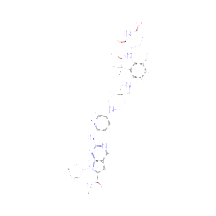 CN(C)C(=O)c1cc2cnc(Nc3ccc(N4CCC5(CC4)CN(c4ccc(F)c6c4C(C)(C)C(=O)N6[C@H]4CCC(=O)NC4=O)C5)cn3)nc2n1C1CCCC1